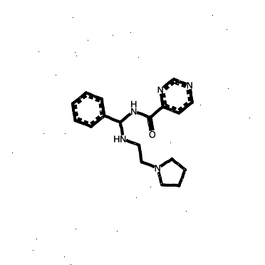 O=C(NC(NCCN1CCCC1)c1ccccc1)c1ccncn1